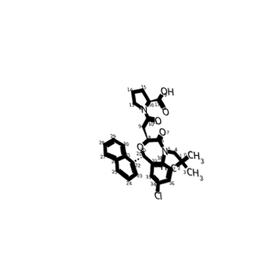 CC(C)(C)CN1C(=O)[C@H](CC(=O)N2CCC[C@H]2C(=O)O)O[C@@H](c2cccc3ccccc23)c2cc(Cl)ccc21